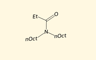 [CH2]CC(=O)N(CCCCCCCC)CCCCCCCC